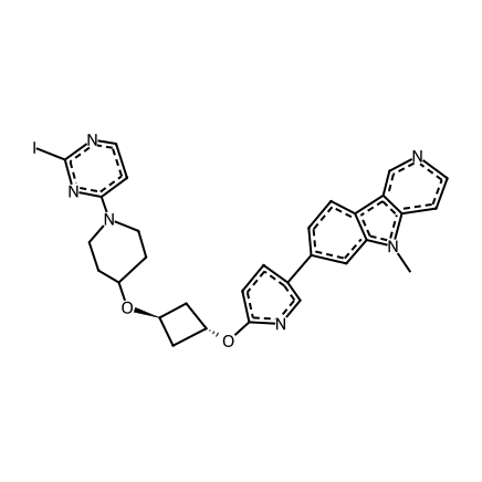 Cn1c2ccncc2c2ccc(-c3ccc(O[C@H]4C[C@H](OC5CCN(c6ccnc(I)n6)CC5)C4)nc3)cc21